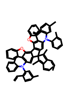 C=Cc1ccc(C)cc1N(c1ccccc1C)c1cc2c(c3oc4ccccc4c13)-c1c(cc(N(c3ccccc3C)c3cc(C)ccc3C=C)c3c1oc1ccccc13)C21C(C)=C(/C=C\C)C(/C=C\C)=C1C